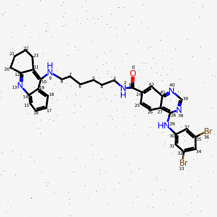 O=C(NCCCCCCNc1c2c(nc3ccccc13)CCCC2)c1ccc2c(Nc3cc(Br)cc(Br)c3)ncnc2c1